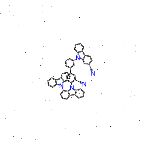 N#Cc1ccc2c3ccccc3n(-c3cccc(-c4ccc(-n5c6ccccc6c6cccc(-n7c8ccccc8c8ccccc87)c65)c(C#N)c4)c3)c2c1